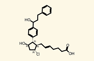 O=C(O)CCCC=CC[C@@H]1[C@@H](c2ccc(C(O)CCc3ccccc3)cc2)[C@H](O)C[C@H]1Cl